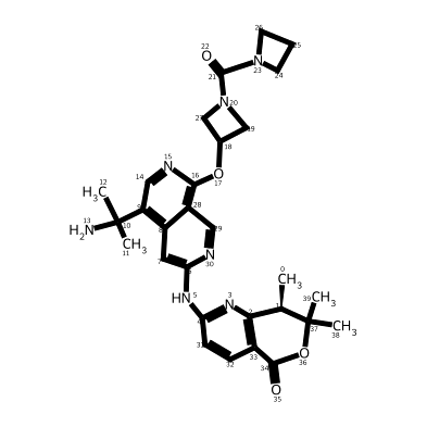 C[C@@H]1c2nc(Nc3cc4c(C(C)(C)N)cnc(OC5CN(C(=O)N6CCC6)C5)c4cn3)ccc2C(=O)OC1(C)C